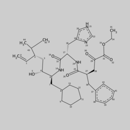 C=C[C@@H](C[C@@H](O)[C@H](CC1CCCCC1)NC(=O)[C@H](Cc1c[nH]cn1)NC(=O)[C@@H](CC(=O)C(=O)OCC)Cc1ccccc1)C(C)C